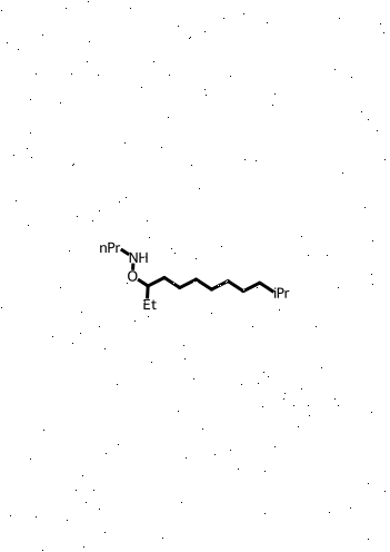 CCCNOC(CC)CCCCCCCC(C)C